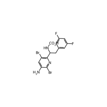 Nc1cc(Br)c(C(Cc2cc(F)cc(F)c2)NC(=O)O)nc1Br